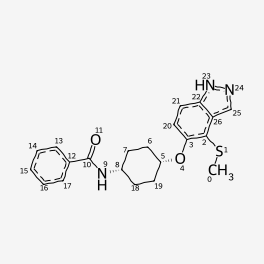 CSc1c(O[C@H]2CC[C@@H](NC(=O)c3ccccc3)CC2)ccc2[nH]ncc12